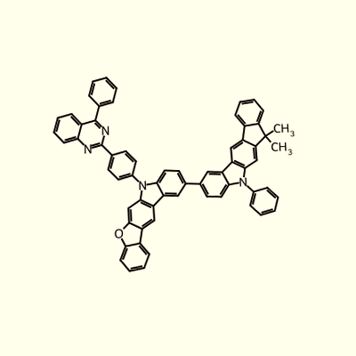 CC1(C)c2ccccc2-c2cc3c4cc(-c5ccc6c(c5)c5cc7c(cc5n6-c5ccc(-c6nc(-c8ccccc8)c8ccccc8n6)cc5)oc5ccccc57)ccc4n(-c4ccccc4)c3cc21